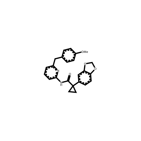 COc1ccc(Cc2cccc(NC(=O)C3(c4ccc5c(c4)OCO5)CC3)n2)cc1